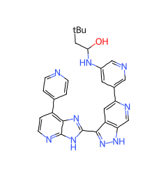 CC(C)(C)CC(O)Nc1cncc(-c2cc3c(-c4nc5c(-c6ccncc6)ccnc5[nH]4)n[nH]c3cn2)c1